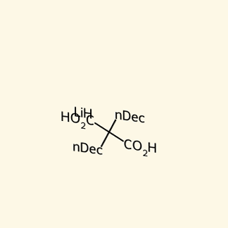 CCCCCCCCCCC(CCCCCCCCCC)(C(=O)O)C(=O)O.[LiH]